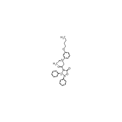 CCCCOc1cccc([C@H](CC)CC(=O)N2C(=O)O[C@@H](c3ccccc3)[C@H]2c2ccccc2)c1